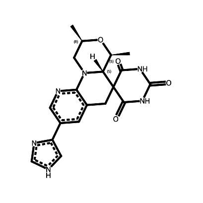 C[C@@H]1CN2c3ncc(-c4c[nH]cn4)cc3CC3(C(=O)NC(=O)NC3=O)[C@H]2[C@H](C)O1